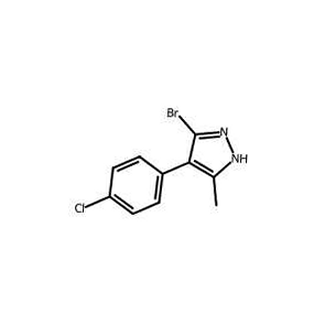 Cc1[nH]nc(Br)c1-c1ccc(Cl)cc1